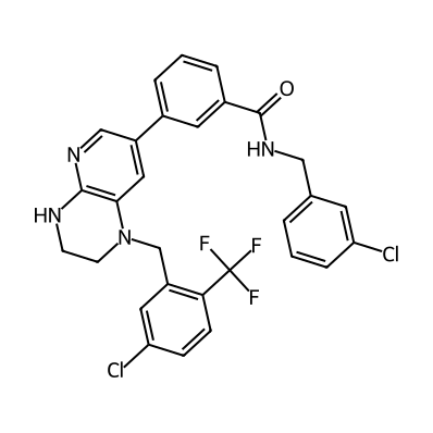 O=C(NCc1cccc(Cl)c1)c1cccc(-c2cnc3c(c2)N(Cc2cc(Cl)ccc2C(F)(F)F)CCN3)c1